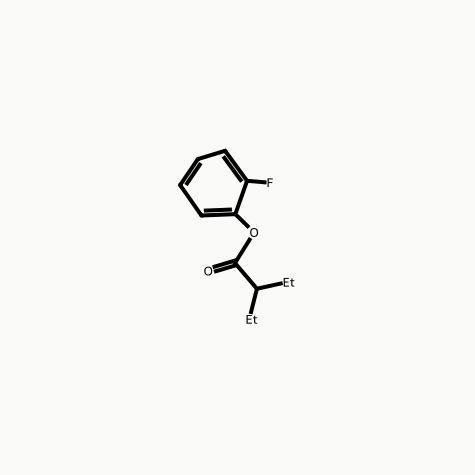 CCC(CC)C(=O)Oc1ccccc1F